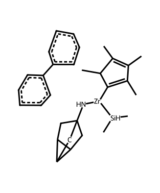 CC1=C(C)C(C)[C]([Zr]([NH]C23CC4C(C2)C4C3)[SiH](C)C)=C1C.c1ccc(-c2ccccc2)cc1